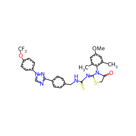 COc1cc(C)c(N2C(=O)CS/C2=N\C(=S)NCc2ccc(-c3ncn(-c4ccc(OC(F)(F)F)cc4)n3)cc2)c(C)c1